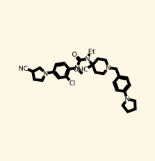 CCN(C(=O)N(C)c1ccc(N2CCC(C#N)C2)cc1Cl)C1(C=O)CCN(Cc2ccc(N3CCCC3)cc2)CC1